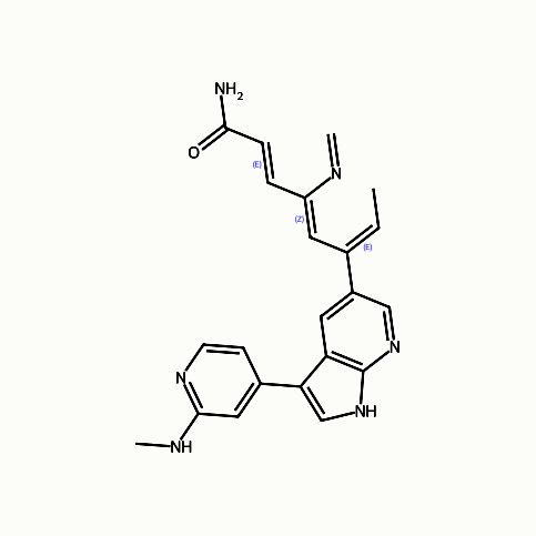 C=NC(=C\C(=C/C)c1cnc2[nH]cc(-c3ccnc(NC)c3)c2c1)/C=C/C(N)=O